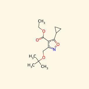 CCOC(=O)c1c(COC(C)(C)C)noc1C1CC1